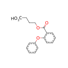 O=C(O)CCCOC(=O)c1ccccc1Oc1ccccc1